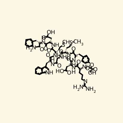 CSCC[C@H](NC(=O)[C@H](Cc1ccc(OS(=O)(=O)O)cc1)NC(=O)[C@H](CC(=O)O)NC(=O)[C@@H](N)CCCN=C(N)N)C(=O)NCC(=O)N[C@@H](Cc1c[nH]c2ccccc12)C(=O)N[C@@H](CCSC)C(=O)N[C@@H](CC(=O)O)C(=O)N[C@@H](Cc1ccccc1)C(N)=O